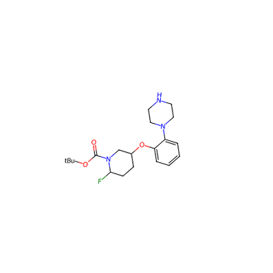 CC(C)(C)OC(=O)N1CC(Oc2ccccc2N2CCNCC2)CCC1F